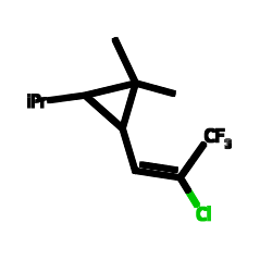 CC(C)C1C(/C=C(/Cl)C(F)(F)F)C1(C)C